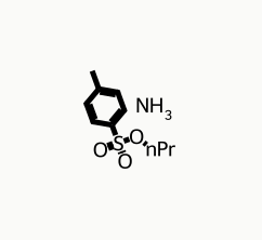 CCCOS(=O)(=O)c1ccc(C)cc1.N